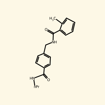 CCCNC(=O)c1ccc(CNC(=O)c2ccccc2C)cc1